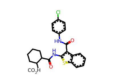 O=C(Nc1ccc(Cl)cc1)c1c(NC(=O)C2CCCCC2C(=O)O)sc2ccccc12